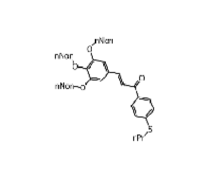 CCCCCCCCCOc1cc(C=CC(=O)c2ccc(SCCC)cc2)cc(OCCCCCCCCC)c1OCCCCCCCCC